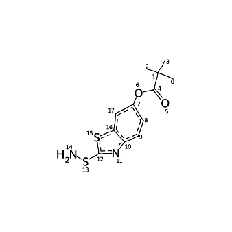 CC(C)(C)C(=O)Oc1ccc2nc(SN)sc2c1